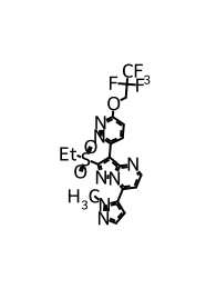 CCS(=O)(=O)c1nn2c(-c3ccnn3C)ccnc2c1-c1ccc(OCC(F)(F)C(F)(F)F)nn1